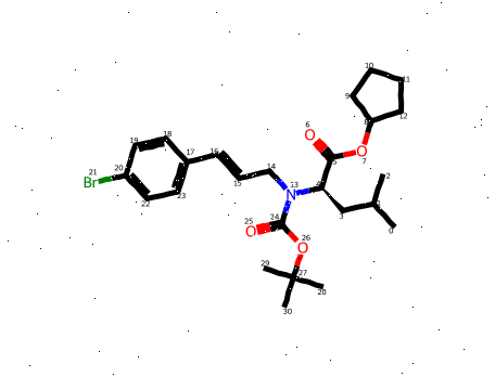 CC(C)C[C@H](C(=O)OC1CCCC1)N(C/C=C/c1ccc(Br)cc1)C(=O)OC(C)(C)C